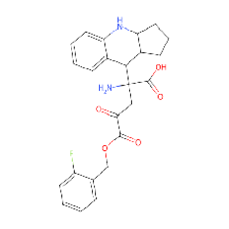 NC(CC(=O)C(=O)OCc1ccccc1F)(C(=O)O)C1c2ccccc2NC2CCCC21